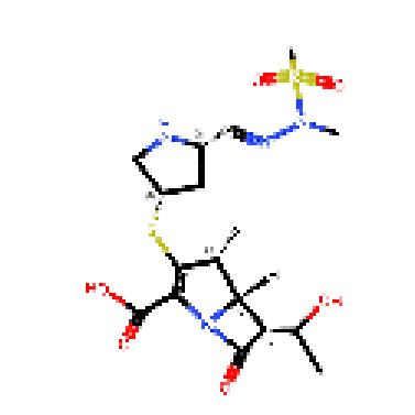 CC(O)[C@H]1C(=O)N2C(C(=O)O)=C(S[C@@H]3CN[C@H](C=NN(C)S(C)(=O)=O)C3)[C@H](C)[C@H]12